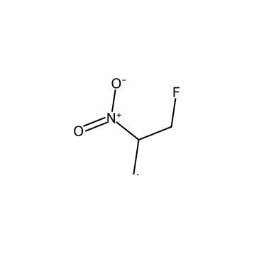 [CH2]C(CF)[N+](=O)[O-]